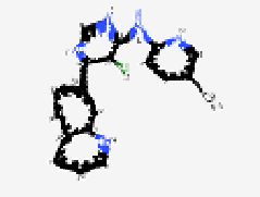 FC(F)(F)c1ccc(Nc2ncnc(-c3ccc4cccnc4c3)c2Cl)nc1